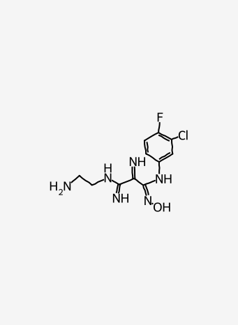 N=C(NCCN)C(=N)/C(=N/O)Nc1ccc(F)c(Cl)c1